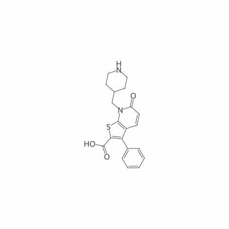 O=C(O)c1sc2c(ccc(=O)n2CC2CCNCC2)c1-c1ccccc1